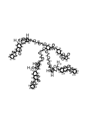 CC(C)N(CC1=CN(CCOCCOCCOc2cc(C(=O)NCc3ccc(C(=O)ON4C(=O)CCC4=O)cc3)cc(OCCOCCOCCN3C=C(CN(c4ccc5cc(-c6nc7ccccc7s6)c(=O)oc5c4)C(C)C)NN3)c2OCCOCCOCCN2C=C3CN(c4ccc5cc(-c6nc7ccccc7s6)c(=O)oc5c4)C(C)N3N2)NN1)c1ccc2cc(-c3nc4ccccc4s3)c(=O)oc2c1